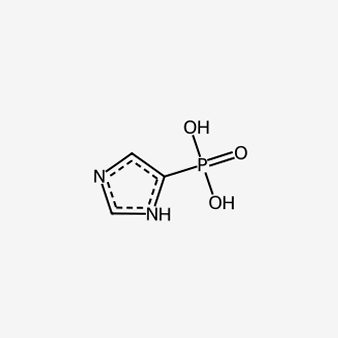 O=P(O)(O)c1cnc[nH]1